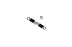 [O]=[Pb]=[O].[Ti]